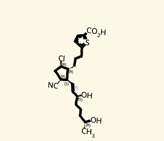 C[C@@H](O)CCC[C@H](O)/C=C/[C@@H]1[C@@H](CCCc2ccc(C(=O)O)s2)[C@H](Cl)C[C@H]1C#N